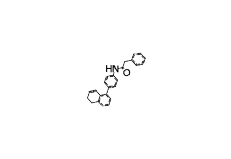 O=C(Cc1ccccc1)Nc1ccc(-c2cccc3c2C=CCC3)cc1